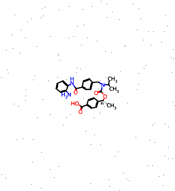 CC(C)N(Cc1ccc(C(=O)Nc2ccccc2N)cc1)C(=O)O[C@H](C)c1ccc(C(=O)O)cc1